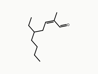 CCCCC(CC)CC=C(C)C=O